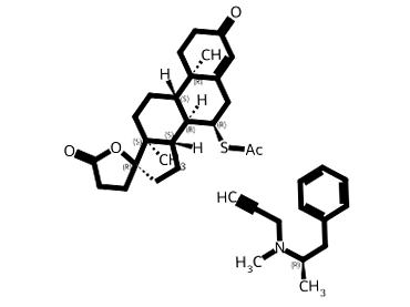 C#CCN(C)[C@H](C)Cc1ccccc1.CC(=O)S[C@@H]1CC2=CC(=O)CC[C@]2(C)[C@H]2CC[C@@]3(C)[C@@H](CC[C@@]34CCC(=O)O4)[C@H]12